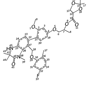 COc1cc(OCC(C)OC(=O)C2COC(C)(C)O2)ccc1-c1ccc2c(c1COc1cc(F)ccc1C)N(C)C(=O)C(C)(C)N2